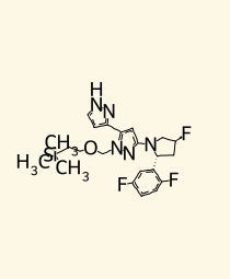 C[Si](C)(C)CCOCn1nc(N2C[C@@H](F)C[C@@H]2c2cc(F)ccc2F)cc1-c1cc[nH]n1